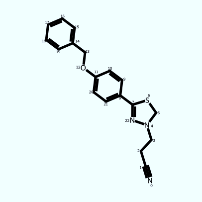 N#CCCN1CSC(c2ccc(OCc3ccccc3)cc2)=N1